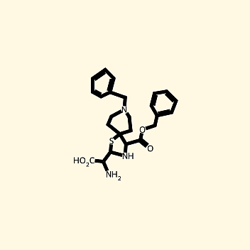 NC(C(=O)O)C1NC(C(=O)OCc2ccccc2)C2(CCN(Cc3ccccc3)CC2)S1